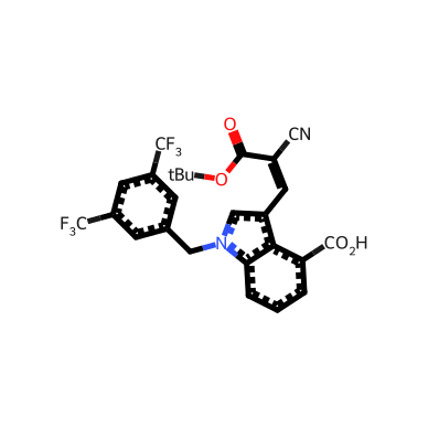 CC(C)(C)OC(=O)C(C#N)=Cc1cn(Cc2cc(C(F)(F)F)cc(C(F)(F)F)c2)c2cccc(C(=O)O)c12